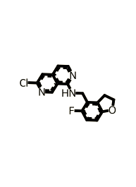 Fc1ccc2c(c1CNc1nccc3cc(Cl)ncc13)CCO2